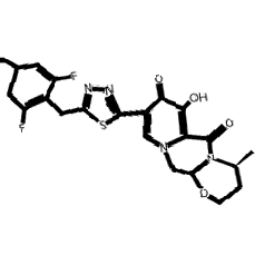 CC1C=C(F)C(Cc2nnc(-c3cn4c(c(O)c3=O)C(=O)N3C(C4)OCC[C@@H]3C)s2)=C(F)C1